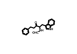 O=[C]NC(Cc1c[nH]c2ccccc12)C(=O)CCc1ccccc1